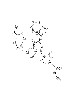 CC(C)(C)OC(=O)N1CCN(c2nc(-c3cnn4ccccc34)nc(N[C@H]3CC[C@H](CC#N)CC3)c2F)CC1